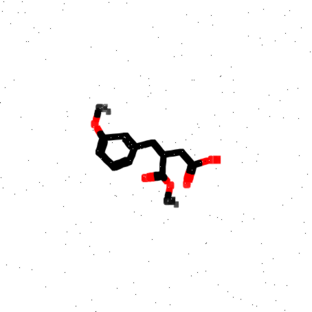 COC(=O)C(CC(=O)O)Cc1cccc(OC)c1